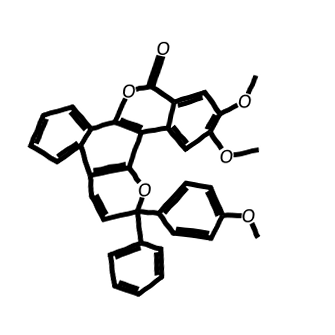 COc1ccc(C2(c3ccccc3)C=Cc3c(c4c5cc(OC)c(OC)cc5c(=O)oc4c4ccccc34)O2)cc1